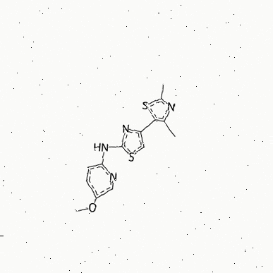 COc1ccc(Nc2nc(-c3sc(C)nc3C)cs2)nc1